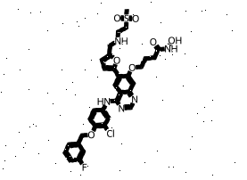 CS(=O)(=O)CCNCc1ccc(-c2cc3c(Nc4ccc(OCc5cccc(F)c5)c(Cl)c4)ncnc3cc2OCCCC(=O)NO)o1